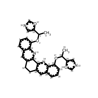 CC(Oc1cccc2cc3c(nc12)-c1nc2c(OC(C)c4cnco4)cccc2cc1CC3)c1cnco1